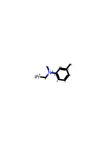 Cc1cccc(N(C)CC(C)C)c1